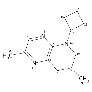 Cc1cnc2c(n1)C[C@@H](C)CN2C1CCC1